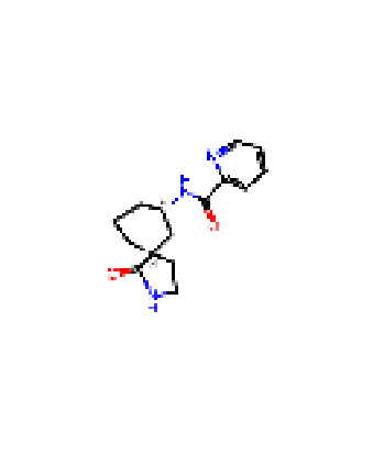 O=C(N[C@H]1CCC[C@]2(CCNC2=O)C1)c1ccccn1